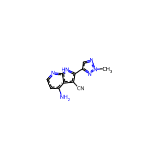 Cn1ncc(-c2[nH]c3nccc(N)c3c2C#N)n1